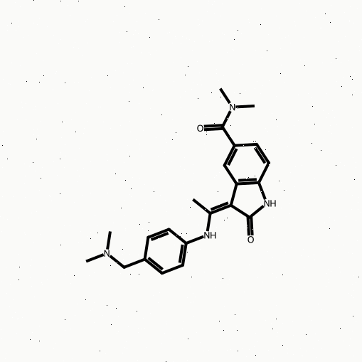 C/C(Nc1ccc(CN(C)C)cc1)=C1/C(=O)Nc2ccc(C(=O)N(C)C)cc21